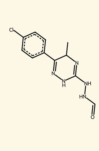 CC1N=C(NNC=O)NN=C1c1ccc(Cl)cc1